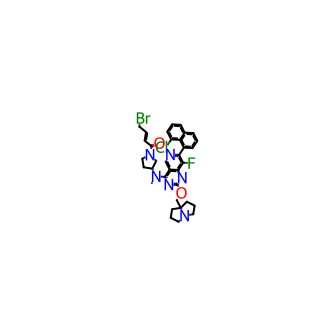 CN(c1nc(OCC23CCCN2CCC3)nc2c(F)c(-c3cccc4cccc(Cl)c34)ncc12)C1CCN(C(=O)/C=C/CBr)C1